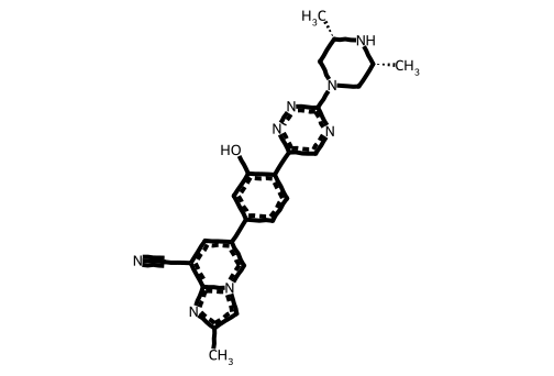 Cc1cn2cc(-c3ccc(-c4cnc(N5C[C@@H](C)N[C@@H](C)C5)nn4)c(O)c3)cc(C#N)c2n1